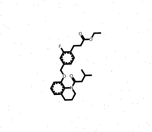 CCOC(=O)CCc1ccc(COc2cccc3c2N(C(=O)CC(C)C)CCC3)cc1F